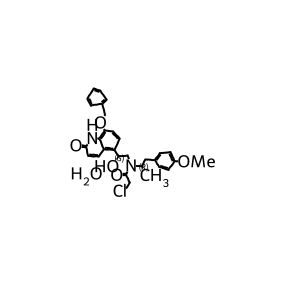 COc1ccc(C[C@@H](C)N(C[C@@H](O)c2ccc(OCc3ccccc3)c3[nH]c(=O)ccc23)C(=O)CCl)cc1.O